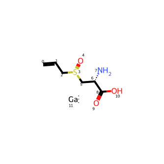 C=CCS(=O)C[C@H](N)C(=O)O.[Ga]